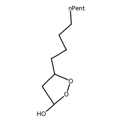 CCCCCCCCCC1CC(O)OO1